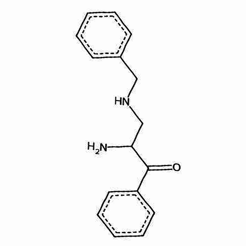 NC(CNCc1ccccc1)C(=O)c1ccccc1